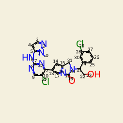 Cn1nccc1Nc1ncc(Cl)c(-c2cc3n(c2)C(=O)N(C(CO)c2cccc(Cl)c2)C3)n1